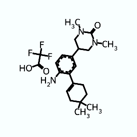 CN1CC(c2ccc(N)c(C3=CCC(C)(C)CC3)c2)CN(C)C1=O.O=C(O)C(F)(F)F